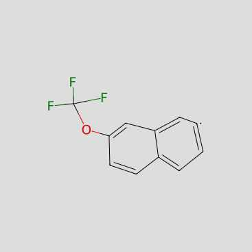 FC(F)(F)Oc1ccc2cc[c]cc2c1